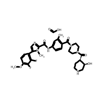 COc1ccc(-c2cnc(C(=O)Nc3ccc(C(=O)N4CCN(C(=O)[C@@H]5CCNC[C@@H]5O)CC4)c(C)c3)n2C)c(F)c1F.O=CO